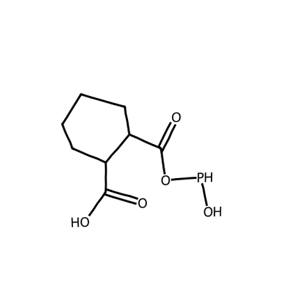 O=C(O)C1CCCCC1C(=O)OPO